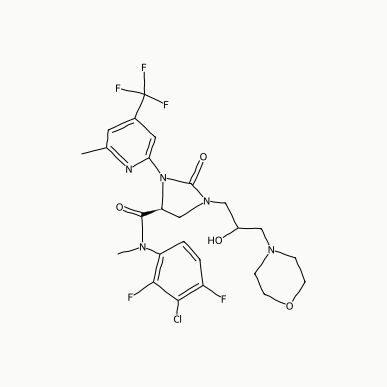 Cc1cc(C(F)(F)F)cc(N2C(=O)N(CC(O)CN3CCOCC3)C[C@H]2C(=O)N(C)c2ccc(F)c(Cl)c2F)n1